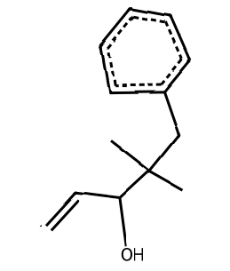 [CH]=CC(O)C(C)(C)Cc1ccccc1